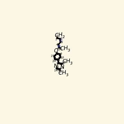 C=C/C=C\C=C(/C)Oc1ccc(-c2ncc(C)nc2C)cc1